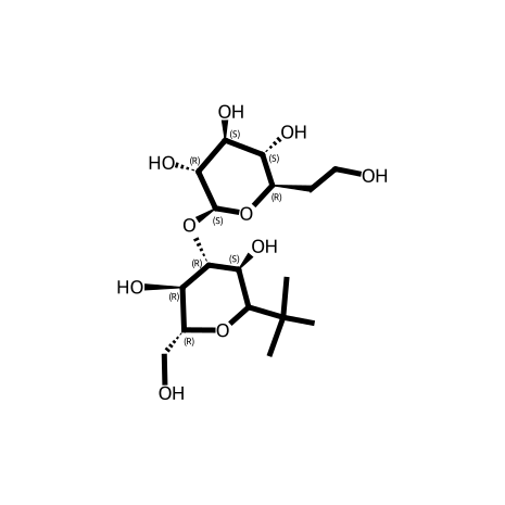 CC(C)(C)C1O[C@H](CO)[C@@H](O)[C@H](O[C@@H]2O[C@H](CCO)[C@@H](O)[C@H](O)[C@H]2O)[C@H]1O